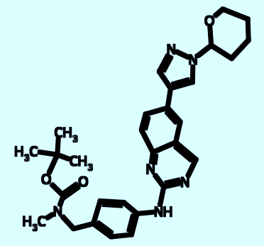 CN(Cc1ccc(Nc2ncc3cc(-c4cnn(C5CCCCO5)c4)ccc3n2)cc1)C(=O)OC(C)(C)C